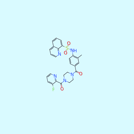 Cc1cc(C(=O)N2CCN(C(=O)c3ncccc3F)CC2)ccc1NS(=O)(=O)c1cccc2cccnc12